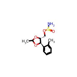 Cc1ccccc1[C@H]1OC(C)O[C@@H]1COS(N)=O